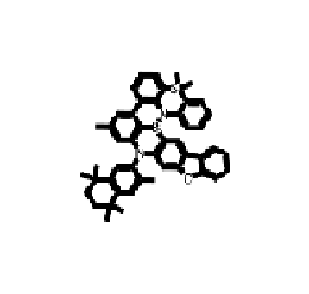 Cc1cc2c3c(c1)N(c1cc4c(cc1C)C(C)(C)CCC4(C)C)c1cc4oc5ccccc5c4cc1B3N1c3ccccc3[Si](C)(C)c3cccc-2c31